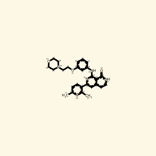 Cc1ccc(-c2cc3cc[nH]c(=O)c3c(Nc3cccc(OCCN4CCOCC4)c3)n2)c(C)n1